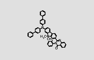 CC1(C)c2cc(-c3nc4ccccc4c(=O)n3-c3ccccc3)ccc2-c2ccc(N(c3ccc(-c4ccccc4)cc3)c3ccc(-c4ccccc4)cc3)cc21